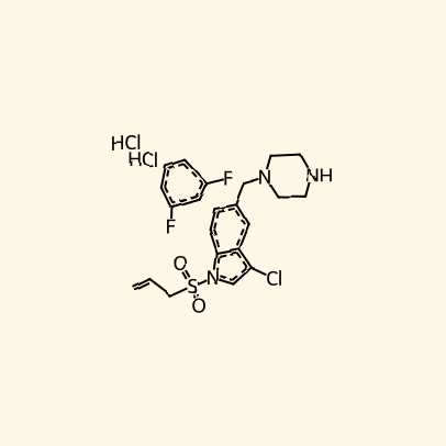 C=CCS(=O)(=O)n1cc(Cl)c2cc(CN3CCNCC3)ccc21.Cl.Cl.Fc1cccc(F)c1